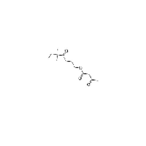 CCC(C)(C)C(=O)CCCOC(=O)CC(C)=O